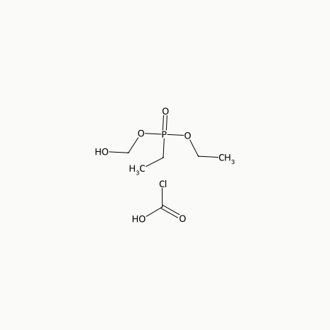 CCOP(=O)(CC)OCO.O=C(O)Cl